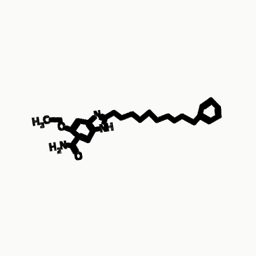 CCOc1cc2nc(CCCCCCCCCCc3ccccc3)[nH]c2cc1C(N)=O